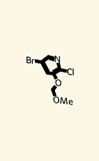 COCOc1cc(Br)cnc1Cl